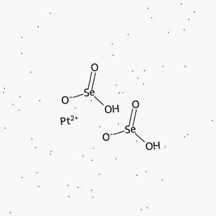 O=[Se]([O-])O.O=[Se]([O-])O.[Pt+2]